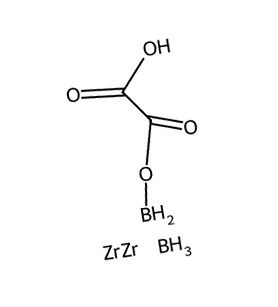 B.BOC(=O)C(=O)O.[Zr].[Zr]